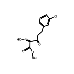 CC(C)(C)OC(=O)C(=NO)C(=O)CCc1cccc(Cl)c1